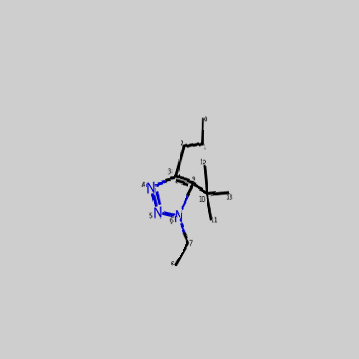 CCCc1nnn(CC)c1C(C)(C)C